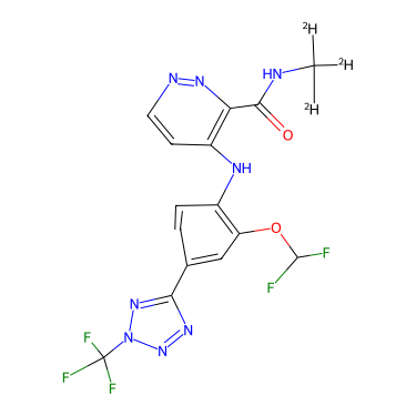 [2H]C([2H])([2H])NC(=O)c1nnccc1Nc1ccc(-c2nnn(C(F)(F)F)n2)cc1OC(F)F